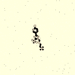 CS(C)(C)CCOCn1nc(-c2ccc(Cl)nc2)nc1S(C)(=O)=O